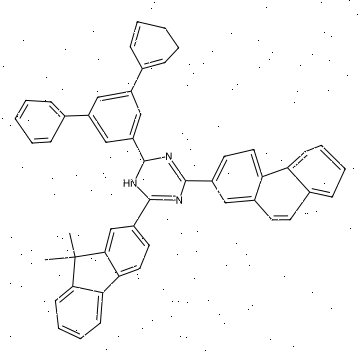 CC1(C)c2ccccc2-c2ccc(C3=NC(c4ccc5c(ccc6ccccc65)c4)=NC(c4cc(C5=CCCC=C5)cc(-c5ccccc5)c4)N3)cc21